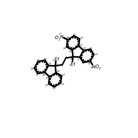 CCC1(CCC2(CC)c3cc([N+](=O)[O-])ccc3-c3ccc([N+](=O)[O-])cc32)c2ccccc2-c2ccccc21